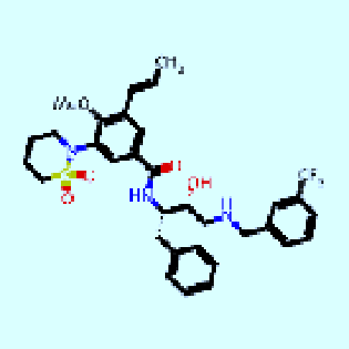 CC=Cc1cc(C(=O)N[C@@H](Cc2ccccc2)[C@H](O)CNCc2cccc(C(F)(F)F)c2)cc(N2CCCCS2(=O)=O)c1OC